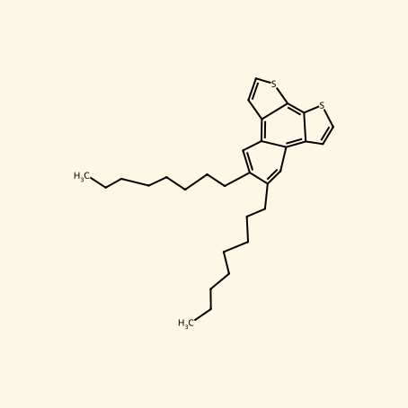 CCCCCCCCc1cc2c(cc1CCCCCCCC)c1ccsc1c1sccc21